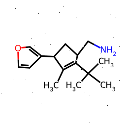 CC1=C(C(C)(C)C)C(CN)CC1c1ccoc1